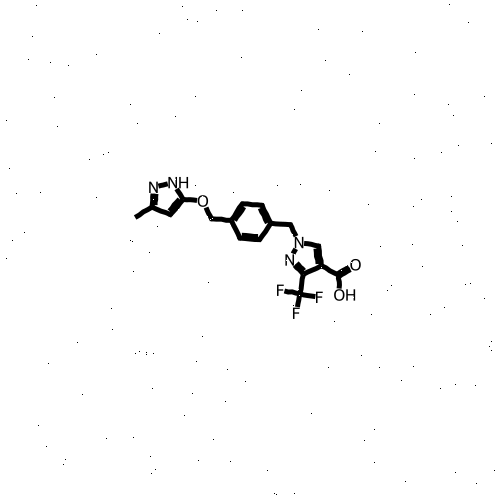 Cc1cc(OCc2ccc(Cn3cc(C(=O)O)c(C(F)(F)F)n3)cc2)[nH]n1